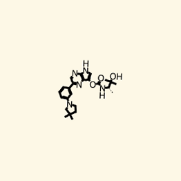 C[C@H](NC(=O)Oc1c[nH]c2ncc(-c3cccc(N4CCC(C)(C)C4)c3)nc12)C(C)(C)O